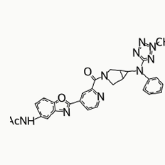 CC(=O)Nc1ccc2oc(-c3ccnc(C(=O)N4CC5C(C4)C5N(c4ccccc4)c4nnn(C)n4)c3)nc2c1